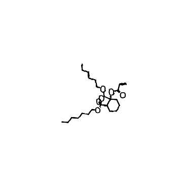 C=CC(=O)OC1(C(=O)OCCCCCC)CCCCC1C(=O)OCCCCCCC